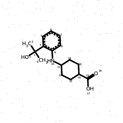 CC(C)(O)c1ccccc1NC1CCC(C(=O)O)CC1